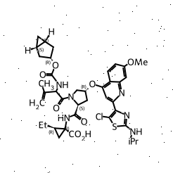 C=C(C)C(NC(=O)O[C@@H]1C[C@@H]2C[C@@H]2C1)C(=O)N1C[C@H](Oc2cc(-c3nc(NC(C)C)sc3Cl)nc3cc(OC)ccc23)C[C@H]1C(=O)N[C@]1(C(=O)O)C[C@H]1CC